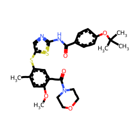 COc1cc(C)c(Sc2cnc(NC(=O)c3ccc(OC(C)(C)C)cc3)s2)cc1C(=O)N1CCOCC1